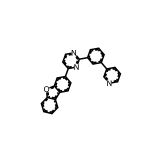 c1cncc(-c2cccc(-c3nccc(-c4ccc5c(c4)oc4ccccc45)n3)c2)c1